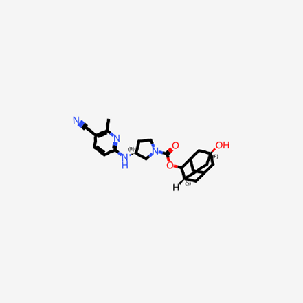 Cc1nc(N[C@@H]2CCN(C(=O)OC3C4CC5C[C@H]3C[C@@](O)(C5)C4)C2)ccc1C#N